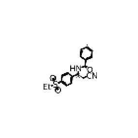 CCS(=O)(=O)c1ccc([C@H](CC#N)NC(=O)c2cc[c]cc2)cc1